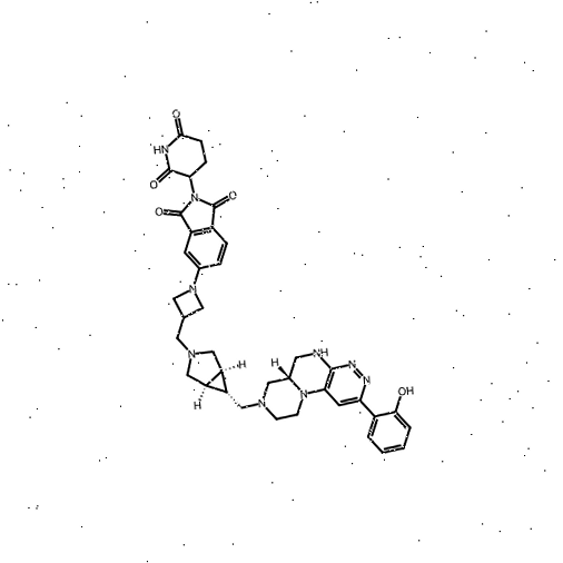 O=C1CCC(N2C(=O)c3ccc(N4CC(CN5C[C@@H]6[C@H](C5)[C@H]6CN5CCN6c7cc(-c8ccccc8O)nnc7NC[C@H]6C5)C4)cc3C2=O)C(=O)N1